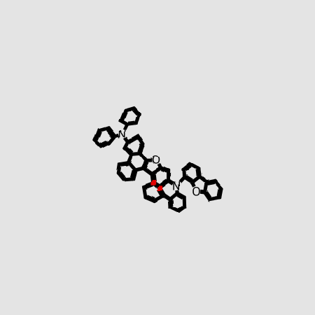 c1ccc(-c2ccccc2N(c2ccc3c(c2)oc2c4ccc(N(c5ccccc5)c5ccccc5)cc4c4ccccc4c32)c2cccc3c2oc2ccccc23)cc1